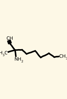 C#CC(C)(N)CCCCCCC